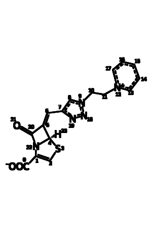 O=C([O-])C1=CS[C@@H]2/C(=C\c3cn(CC[n+]4ccccc4)nn3)C(=O)N12